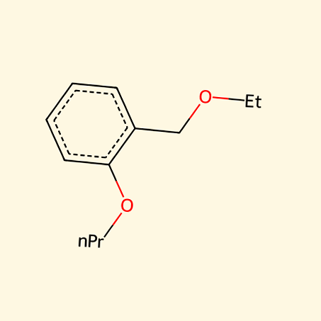 CCCOc1ccccc1COCC